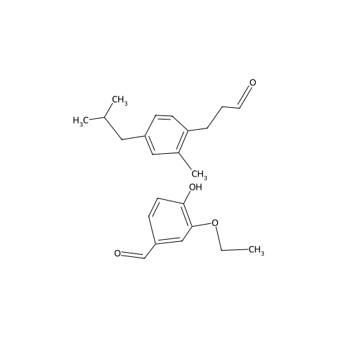 CCOc1cc(C=O)ccc1O.Cc1cc(CC(C)C)ccc1CCC=O